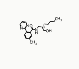 CCCCC[C@H](CO)CNC(=O)c1cc(C)ccc1-c1ncccn1